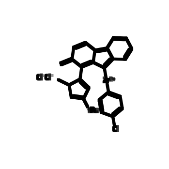 C=c1ccc2c(c1C1=CC(C(C)(C)C)=CC1C)[C]([Zr+2][c]1ccc(Cl)cc1)=c1ccccc1=2.[Cl-].[Cl-]